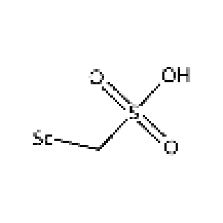 O=S(=O)(O)[CH2][Sc]